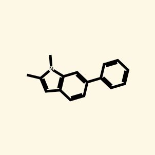 Cc1cc2ccc(-c3ccccc3)cc2n1C